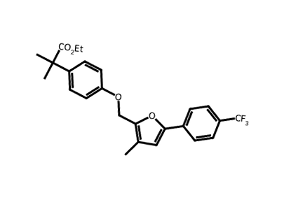 CCOC(=O)C(C)(C)c1ccc(OCc2oc(-c3ccc(C(F)(F)F)cc3)cc2C)cc1